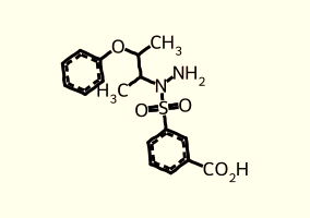 CC(Oc1ccccc1)C(C)N(N)S(=O)(=O)c1cccc(C(=O)O)c1